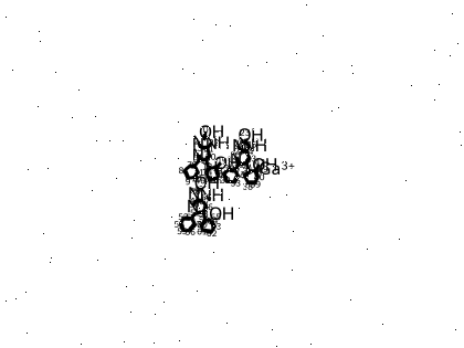 Oc1nc2nc(-c3ccccc3)c(-c3ccccc3O)cc2[nH]1.Oc1nc2nc(-c3ccccc3)c(-c3ccccc3O)cc2[nH]1.Oc1nc2nc(-c3ccccc3)c(-c3ccccc3O)cc2[nH]1.[Ga+3]